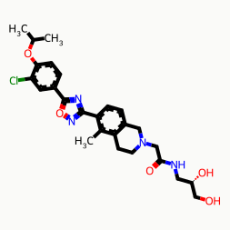 Cc1c(-c2noc(-c3ccc(OC(C)C)c(Cl)c3)n2)ccc2c1CCN(CC(=O)NC[C@H](O)CO)C2